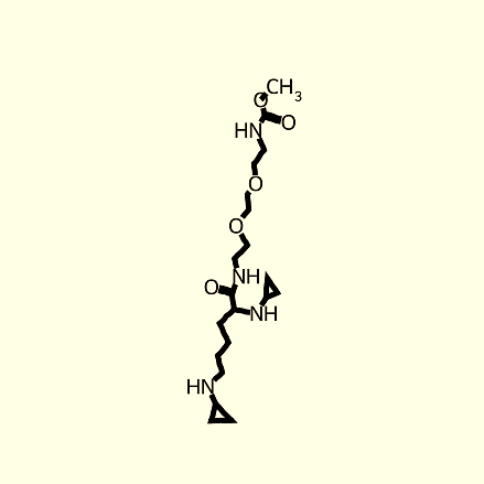 COC(=O)NCCOCCOCCNC(=O)C(CCCCNC1CC1)NC1CC1